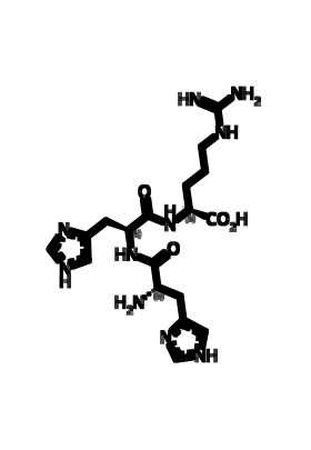 N=C(N)NCCC[C@H](NC(=O)[C@H](Cc1c[nH]cn1)NC(=O)[C@@H](N)Cc1c[nH]cn1)C(=O)O